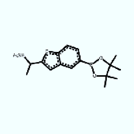 CC(=O)NC(C)c1cc2cc(B3OC(C)(C)C(C)(C)O3)ccc2o1